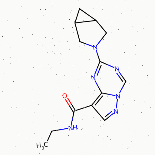 CCNC(=O)c1cnn2cnc(N3CC4CC4C3)nc12